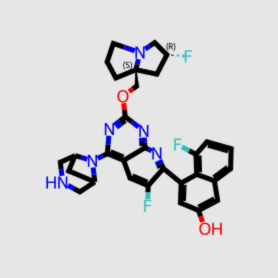 Oc1cc(-c2nc3nc(OC[C@@]45CCCN4C[C@H](F)C5)nc(N4C5CNCC4C5)c3cc2F)c2c(F)cccc2c1